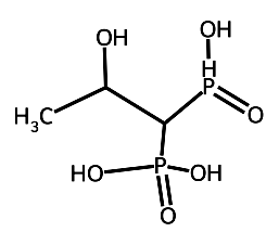 CC(O)C([PH](=O)O)P(=O)(O)O